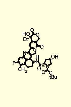 CC[C@@]1(O)C(=O)OCc2c1cc1n(c2=O)Cc2c-1nc1cc(F)c(C)c3c1c2[C@@H](NC(=O)[C@@H]1C[C@@H](O)CN1C(=O)OC(C)(C)C)CC3